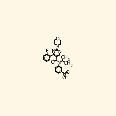 CC(C)N(C(=O)c1cnc(N2CCOCC2)nc1-c1ccccc1F)c1cccc([N+](=O)[O-])c1